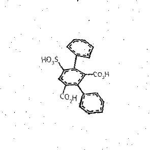 O=C(O)c1cc(S(=O)(=O)O)c(-c2ccccc2)c(C(=O)O)c1-c1ccccc1